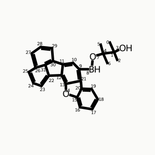 CC(C)(O)C(C)(C)OBc1cc2c(c3oc4ccccc4c13)-c1cccc3cccc-2c13